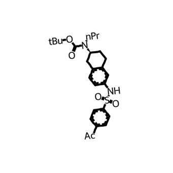 CCCN(C(=O)OC(C)(C)C)[C@H]1CCc2cc(NS(=O)(=O)c3ccc(C(C)=O)cc3)ccc2C1